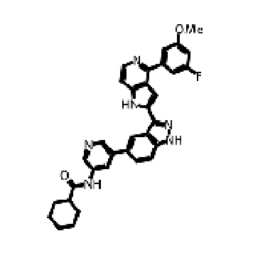 COc1cc(F)cc(-c2nccc3[nH]c(-c4n[nH]c5ccc(-c6cncc(NC(=O)C7CCCCC7)c6)cc45)cc23)c1